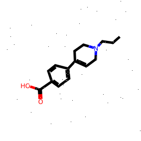 CCCN1CC=C(c2ccc(C(=O)O)cc2)CC1